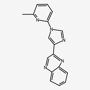 Cc1cccc(-n2cnc(-c3cnc4ccccc4n3)c2)n1